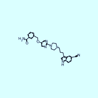 N#Cc1ccc2[nH]cc(CCCN3CCN(c4ncc(OCc5cccc(C(N)=O)c5)cn4)CC3)c2c1